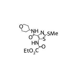 CCOC(=O)C(=O)Nc1sc(SC)nc1C(=O)NC1CCOCC1